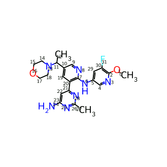 COc1ncc(Nc2ncc(C(C)N3CCOCC3)cc2-c2cc(N)nc(C)n2)cc1F